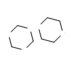 C1COCCO1.C1OCOCO1